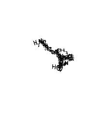 CN1C[C@H](OCCOCCOCCOCCN)C[C@H]1COc1nc2c(c(N3CCN(C(=O)O)[C@@H](CC#N)C3)n1)CCN(c1cccc3ccccc13)C2